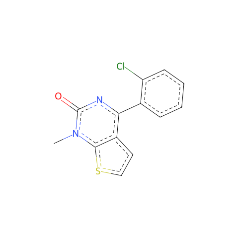 Cn1c(=O)nc(-c2ccccc2Cl)c2ccsc21